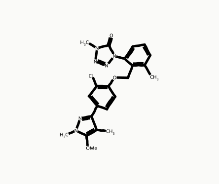 COc1c(C)c(-c2ccc(OCc3c(C)cccc3-n3nnn(C)c3=O)c(Cl)c2)nn1C